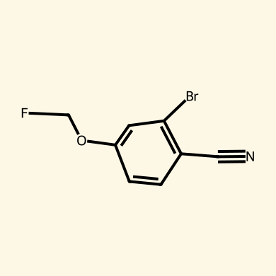 N#Cc1ccc(OCF)cc1Br